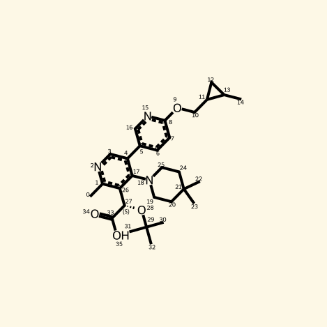 Cc1ncc(-c2ccc(OCC3CC3C)nc2)c(N2CCC(C)(C)CC2)c1[C@H](OC(C)(C)C)C(=O)O